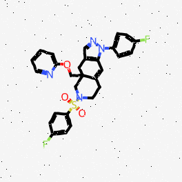 O=S(=O)(c1ccc(F)cc1)N1CCC2=Cc3c(cnn3-c3ccc(F)cc3)CC2(COc2ccccn2)C1